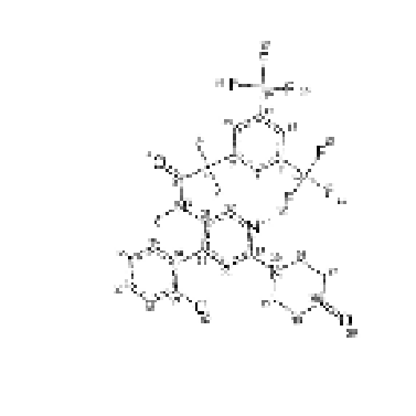 CN(C(=O)C(C)(C)c1cc(C(F)(F)F)cc(C(F)(F)F)c1)c1cnc(N2CCC(=O)CC2)cc1-c1ccccc1Cl